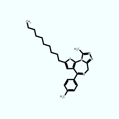 CCCCCCCCCCc1cc2c(s1)-n1c(C)nnc1CN=C2c1ccc(C)cc1